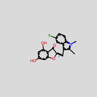 Cc1c(/C=C2/Oc3cc(O)cc(O)c3C2=O)c2cc(F)ccc2n1C